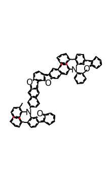 Cc1ccccc1N(c1ccc2cc3c(cc2c1)oc1c3ccc2oc3cc4cc(N(c5ccccc5C)c5c(-c6ccccc6)ccc6c5oc5ccccc56)ccc4cc3c21)c1c(-c2ccccc2)ccc2c1oc1ccccc12